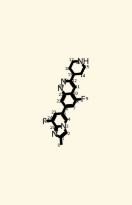 Cc1cn2cc(-c3cc(F)c4cc(C5CCNCC5)nnc4c3)cc(F)c2n1